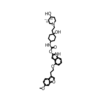 COc1ccc2c(CCOc3cccc4[nH]c(OC(=O)NC5CCC(O)(CCN6CC[C@H](O)[C@@H](C)C6)CC5)cc34)coc2c1